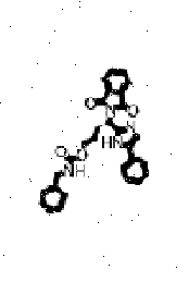 O=C(NCc1ccccc1)OCCC[C@@H](c1ncc(-c2ccccc2)[nH]1)N1C(=O)c2ccccc2C1=O